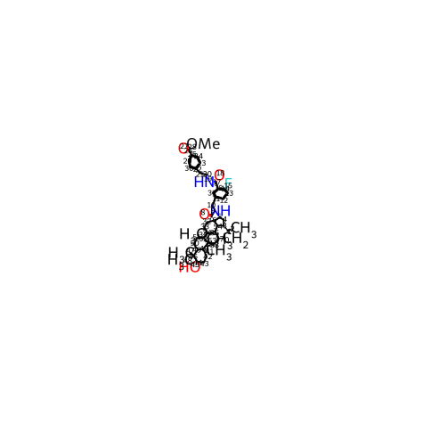 C=C(C)[C@@H]1CC[C@]2(C(=O)NCc3ccc(F)c(C(=O)NCCc4ccc(C(=O)OC)cc4)c3)CC[C@]3(C)C(CCC4[C@@]5(C)CC[C@H](O)C(C)(C)C5CC[C@]43C)C12